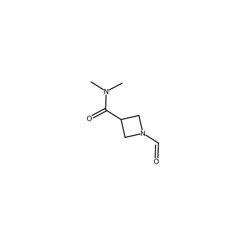 CN(C)C(=O)C1CN(C=O)C1